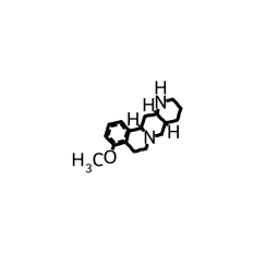 COc1cccc2c1CCN1C[C@H]3CCCN[C@H]3C[C@H]21